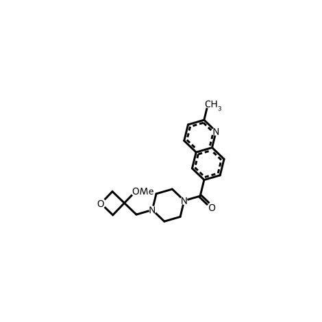 COC1(CN2CCN(C(=O)c3ccc4nc(C)ccc4c3)CC2)COC1